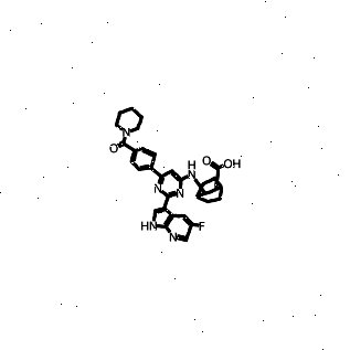 O=C(O)C1C2CCC(CC2)C1Nc1cc(-c2ccc(C(=O)N3CCCCC3)cc2)nc(-c2c[nH]c3ncc(F)cc23)n1